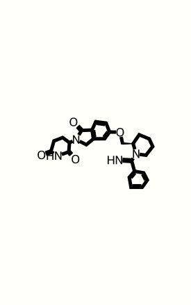 N=C(c1ccccc1)N1CCCC[C@@H]1COc1ccc2c(c1)CN(C1CCC(=O)NC1=O)C2=O